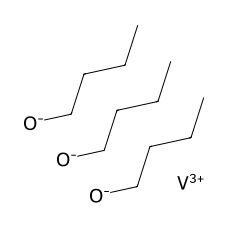 CCCC[O-].CCCC[O-].CCCC[O-].[V+3]